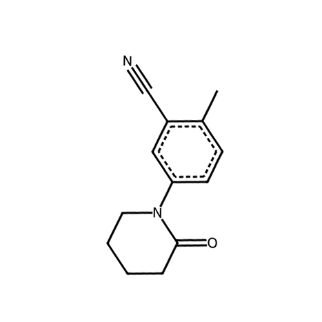 Cc1ccc(N2CCCCC2=O)cc1C#N